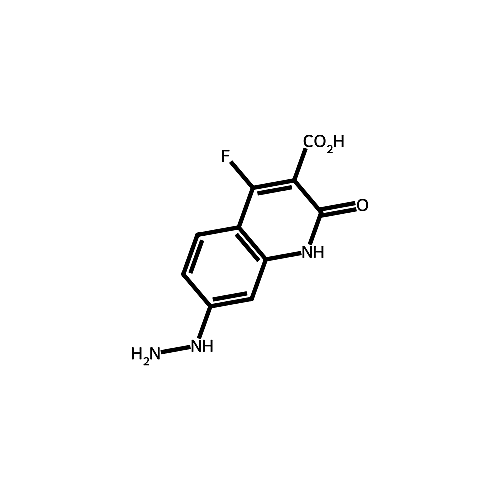 NNc1ccc2c(F)c(C(=O)O)c(=O)[nH]c2c1